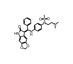 CN(C)CCN(c1ccc(NC(=C2C(=O)Nc3cc4c(cc32)OCO4)c2ccccc2)cc1)S(C)(=O)=O